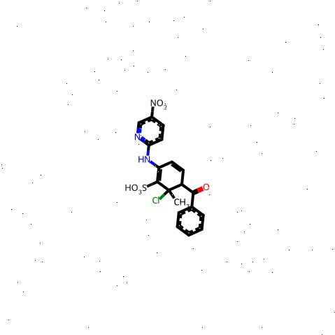 CC1(Cl)C(S(=O)(=O)O)=C(Nc2ccc([N+](=O)[O-])cn2)C=CC1C(=O)c1ccccc1